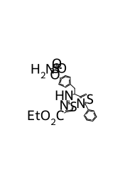 CCOC(=O)c1csc(NC(Cc2ccc(OS(N)(=O)=O)cc2)c2csc(-c3ccccc3)n2)n1